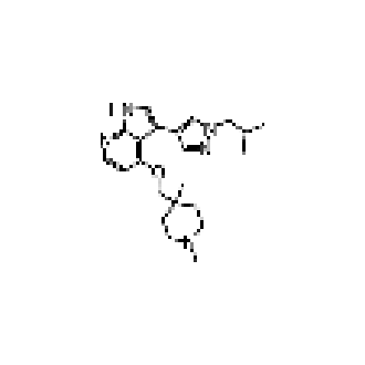 CC(C)Cn1cc(-c2c[nH]c3nccc(OCC4(C)CCN(C)CC4)c23)cn1